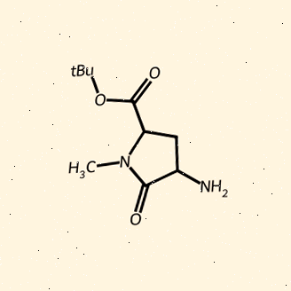 CN1C(=O)C(N)CC1C(=O)OC(C)(C)C